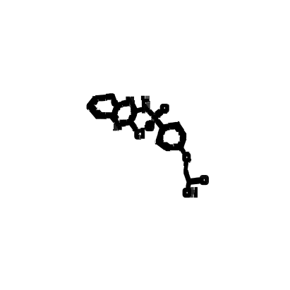 O=C(O)COc1ccc(S(=O)(=O)Nc2nc3ccccc3nc2Cl)cc1